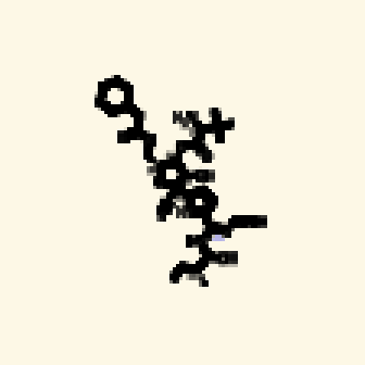 CC[C@@H](C)C(O)N/C(=N/C=N)c1ccc([C@]2(C#N)O[C@H](COC(=O)CC3CCCCC3)[C@@H](OC(=O)[C@@H](N)C(C)(C)C)[C@H]2O)[nH]1